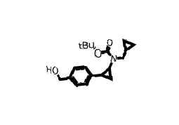 CC(C)(C)OC(=O)N(CC1CC1)C1CC1c1ccc(CO)cc1